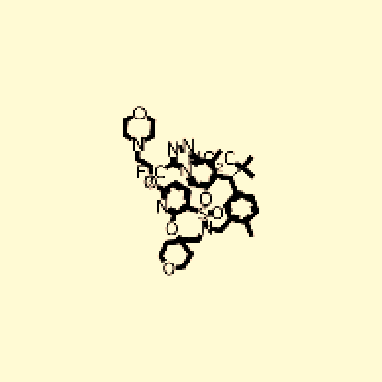 Cc1ccc([C@H](c2ccn3c(C(F)(F)F)nnc3c2C)C(C)(C)C(=O)O)cc1CN1CC2(CCOCC2)Oc2nc(OCCN3CCOCC3)ccc2S1(=O)=O